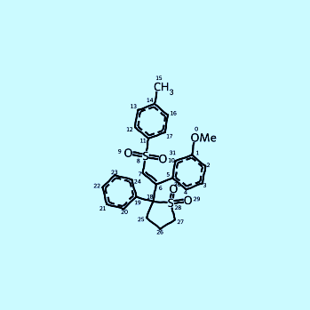 COc1cccc(C(=CS(=O)(=O)c2ccc(C)cc2)C2(c3ccccc3)CCCS2(=O)=O)c1